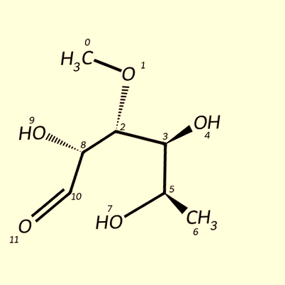 CO[C@H]([C@@H](O)[C@@H](C)O)[C@@H](O)C=O